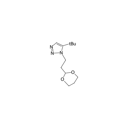 CC(C)(C)c1cnnn1CCC1OCCCO1